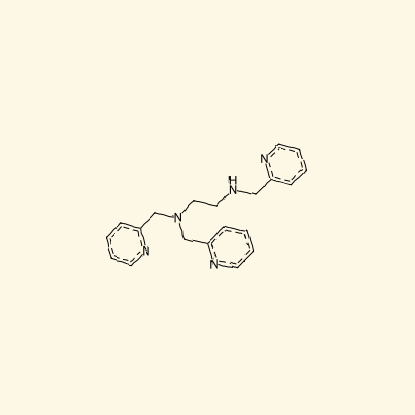 c1ccc(CNCCN(Cc2ccccn2)Cc2ccccn2)nc1